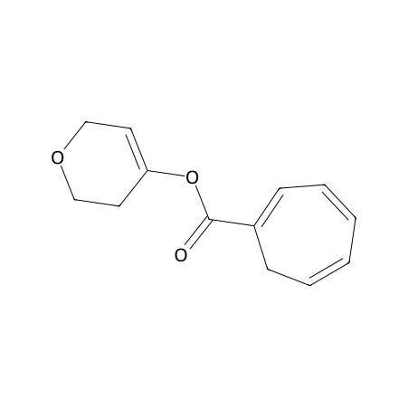 O=C(OC1=CCOCC1)C1=CC=CC=CC1